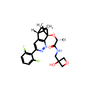 CC[C@@H](O[C@@]12CC[C@@H](c3cc(-c4c(F)cccc4F)nnc31)C2(C)C)C(=O)NCC1(O)COC1